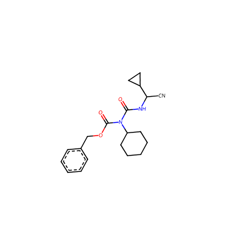 N#CC(NC(=O)N(C(=O)OCc1ccccc1)C1CCCCC1)C1CC1